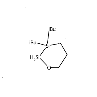 CCC(C)[Si]1(C(C)CC)CCCO[SiH2]1